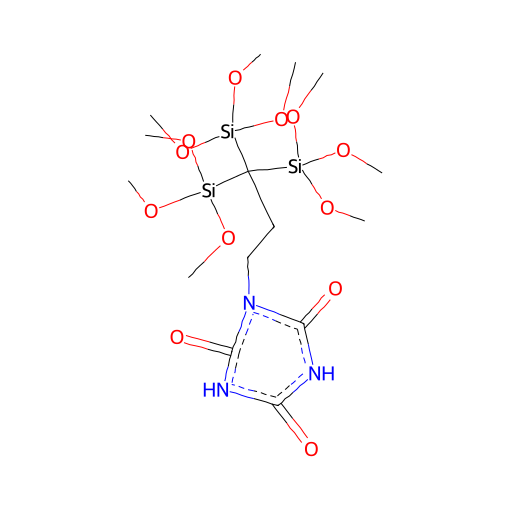 CO[Si](OC)(OC)C(CCn1c(=O)[nH]c(=O)[nH]c1=O)([Si](OC)(OC)OC)[Si](OC)(OC)OC